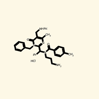 CC(=O)NCc1c(C)nc(C(C(C)C)N(CCCN)C(=O)c2ccc(C)cc2)n(Cc2ccccc2)c1=O.Cl